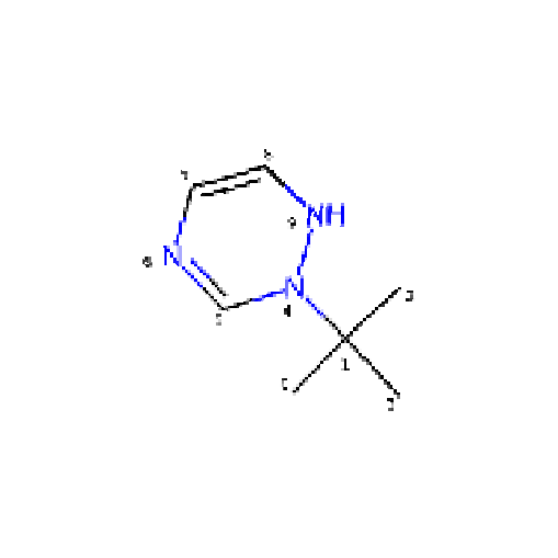 CC(C)(C)N1C=NC=CN1